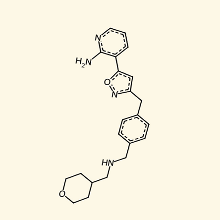 Nc1ncccc1-c1cc(Cc2ccc(CNCC3CCOCC3)cc2)no1